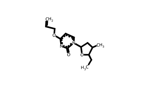 C=CCOc1ccn(C2CC(C)C(CC)O2)c(=O)n1